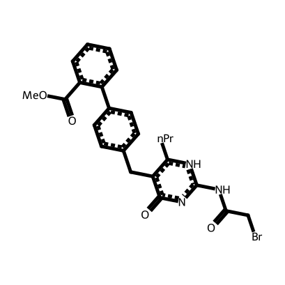 CCCc1[nH]c(NC(=O)CBr)nc(=O)c1Cc1ccc(-c2ccccc2C(=O)OC)cc1